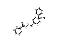 N#CC1(c2ccccc2)CCN(CCCC(=O)c2ccccc2)CC1